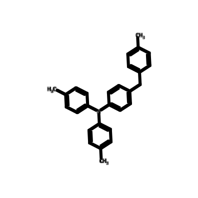 Cc1ccc(Cc2ccc(N(c3ccc(C)cc3)c3ccc(C)cc3)cc2)cc1